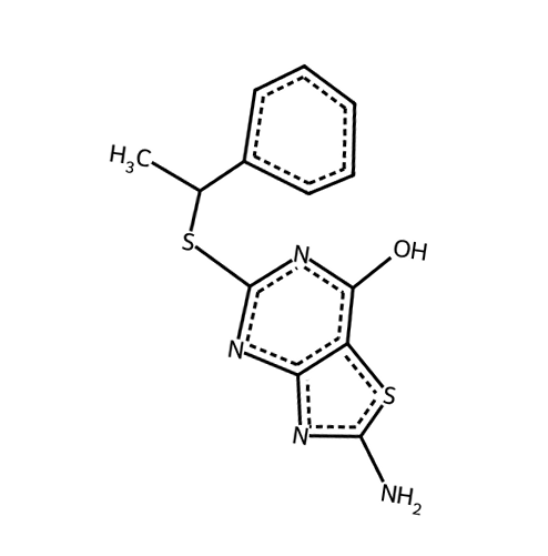 CC(Sc1nc(O)c2sc(N)nc2n1)c1ccccc1